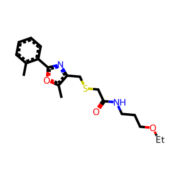 CCOCCCNC(=O)CSCc1nc(-c2ccccc2C)oc1C